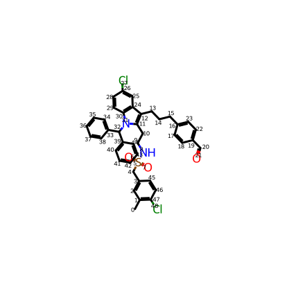 Cc1cc(CS(=O)(=O)NCCc2c(CCCc3ccc(C=O)cc3)c3cc(Cl)ccc3n2C(c2ccccc2)c2ccccc2)ccc1Cl